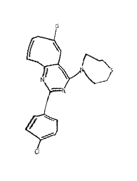 Clc1ccc(-c2nc(N3CCSCC3)c3cc(Cl)ccc3n2)cc1